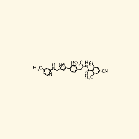 CCc1cc(C#N)cc(C)c1C(=O)NC(Cc1ccc(-c2cc(CNc3cc(C)ccn3)ns2)cc1)C(=O)O